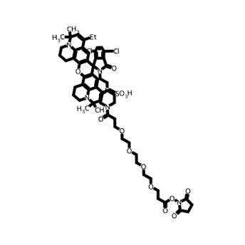 CCC1=CC(C)(C)N2CCCc3c4c(cc1c32)C1(c2cc3c5c(c2O4)CCCN5C(C)(C)C=C3CS(=O)(=O)O)c2c(Cl)ccc(Cl)c2C(=O)N1CCN1CCN(C(=O)CCOCCOCCOCCOCCC(=O)ON2C(=O)CCC2=O)CC1